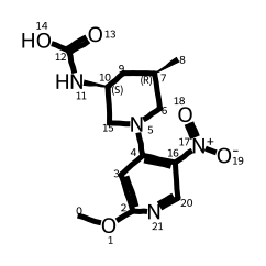 COc1cc(N2C[C@H](C)C[C@H](NC(=O)O)C2)c([N+](=O)[O-])cn1